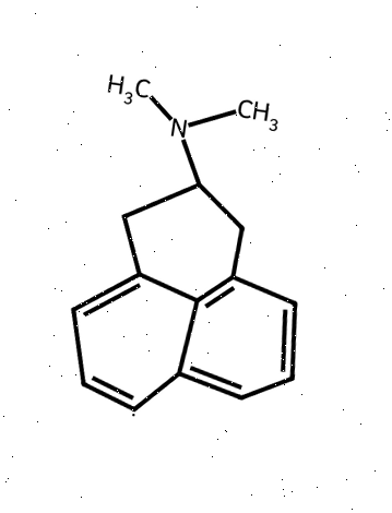 CN(C)C1Cc2cc[c]c3cccc(c23)C1